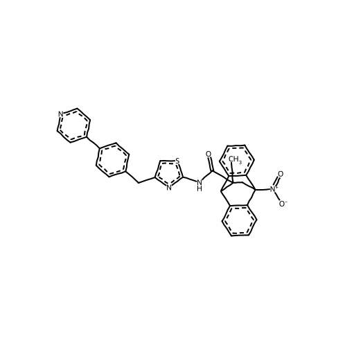 CC1(C(=O)Nc2nc(Cc3ccc(-c4ccncc4)cc3)cs2)CC2([N+](=O)[O-])c3ccccc3C1c1ccccc12